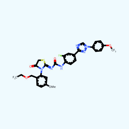 COc1ccc(COCC(F)(F)F)c(N2C(=O)CSC2=NC(=O)Nc2ccc(-c3ncn(-c4ccc(OC(F)(F)F)cc4)n3)cc2F)c1